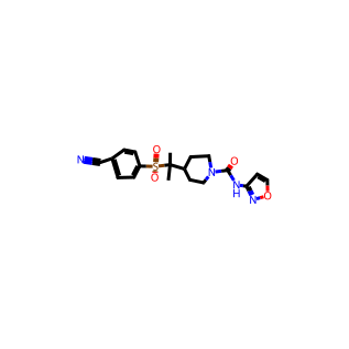 CC(C)(C1CCN(C(=O)Nc2ccon2)CC1)S(=O)(=O)c1ccc(C#N)cc1